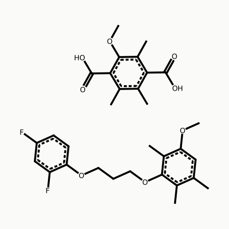 COc1c(C)c(C(=O)O)c(C)c(C)c1C(=O)O.COc1cc(C)c(C)c(OCCCOc2ccc(F)cc2F)c1C